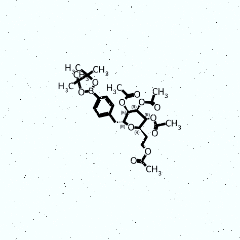 CC(=O)OCC[C@H]1O[C@H](Cc2ccc(B3OC(C)(C)C(C)(C)O3)cc2)[C@@H](OC(C)=O)[C@@H](OC(C)=O)[C@@H]1OC(C)=O